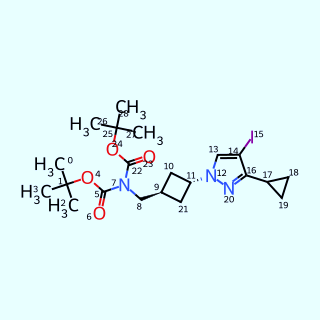 CC(C)(C)OC(=O)N(C[C@H]1C[C@H](n2cc(I)c(C3CC3)n2)C1)C(=O)OC(C)(C)C